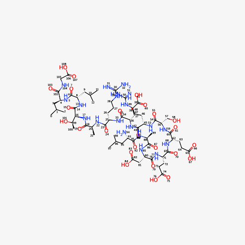 CC(C)C[C@H](NC(=O)[C@H](CC(C)C)NC(=O)[C@@H](NC(=O)[C@H](C)NC(=O)[C@H](CCCNC(=N)N)NC(=O)[C@H](CCC(=O)O)NC(=O)[C@H](CCCNC(=N)N)NC(=O)[C@H](CO)NC(=O)[C@H](CCC(=O)O)NC(=O)[C@H](CCC(=O)O)NC(=O)[C@H](CC(=O)O)NC(=O)[C@H](C)NC(=O)[C@@H](N)CC(C)C)[C@@H](C)O)C(=O)NCC(=O)O